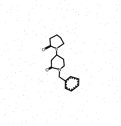 O=C1CC(N2CCCCC2=O)CCN1Cc1ccccc1